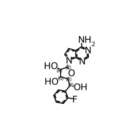 Nc1ncnc2c1ccn2[C@@H]1O[C@H]([C@H](O)c2ccccc2F)[C@@H](O)[C@H]1O